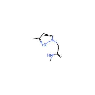 C=C(Cn1ccc(C)n1)NC